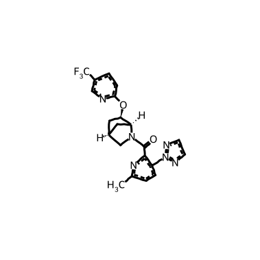 Cc1ccc(-n2nccn2)c(C(=O)N2C[C@H]3C[C@@H](Oc4ccc(C(F)(F)F)cn4)[C@@H]2C3)n1